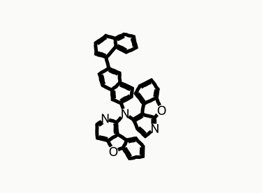 c1ccc2c(-c3ccc4cc(N(c5nccc6oc7ccccc7c56)c5ccnc6oc7ccccc7c56)ccc4c3)cccc2c1